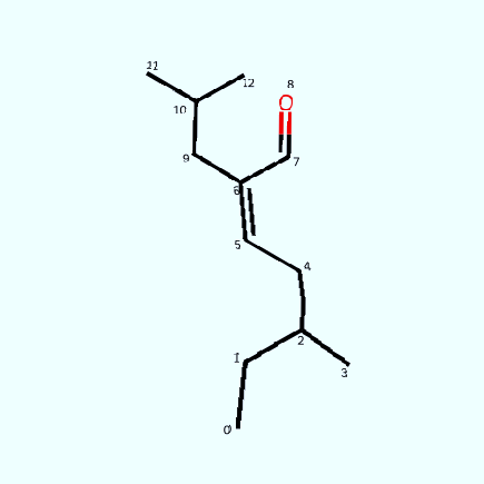 CCC(C)C/C=C(\C=O)CC(C)C